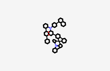 c1ccc(-c2ccc(-c3ccccc3N(c3ccc(-c4cccc5ccccc45)cc3)c3cccc(-c4ccc5c(c4)C4(c6ccccc6-5)c5ccccc5-n5c6ccccc6c6cccc4c65)c3)cc2)cc1